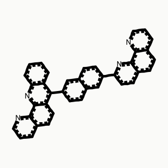 c1cnc2c(c1)ccc1ccc(-c3ccc4cc(-c5c6ccccc6nc6c5ccc5cccnc56)ccc4c3)nc12